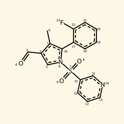 Cc1c(C=O)cn(S(=O)(=O)c2cccnc2)c1-c1ccccc1F